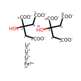 O=C([O-])CC(O)(CC(=O)[O-])C(=O)[O-].O=C([O-])CC(O)(CC(=O)[O-])C(=O)[O-].[Fe+3].[Li+].[Li+].[Li+]